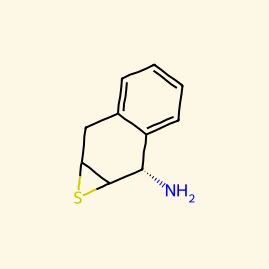 N[C@H]1c2ccccc2CC2SC21